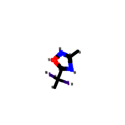 Cc1noc(C(C)(I)I)n1